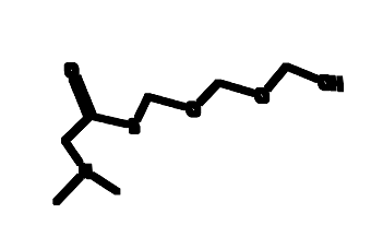 CN(C)CC(=O)SCOCOCO